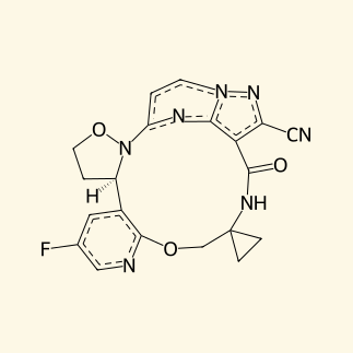 N#Cc1nn2ccc3nc2c1C(=O)NC1(CC1)COc1ncc(F)cc1[C@H]1CCON31